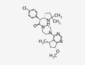 CO[C@@H]1C[C@@H](C)c2c1ncnc2N1CCN(C(=O)[C@@H](c2ccc(Cl)cc2)[C@@H]2CCC(C)(C)N2)CC1